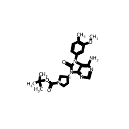 COc1cc(-n2c(=O)n([C@@H]3CCN(C(=O)OC(C)(C)C)C3)c3ncnc(N)c32)ccc1C